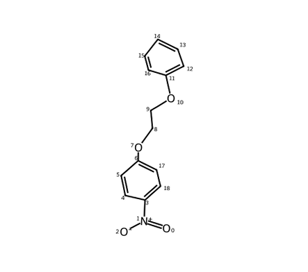 O=[N+]([O-])c1ccc(OCCOc2ccccc2)cc1